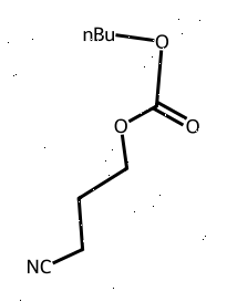 CCCCOC(=O)OCCCC#N